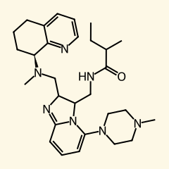 CCC(C)C(=O)NCC1C(CN(C)[C@H]2CCCc3cccnc32)N=C2C=CC=C(N3CCN(C)CC3)N21